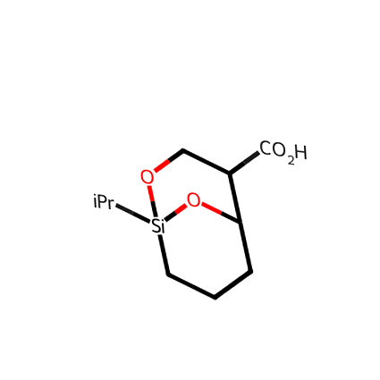 CC(C)[Si]12CCCC(O1)C(C(=O)O)CO2